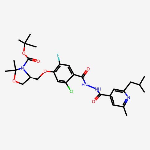 Cc1cc(C(=O)NNC(=O)c2cc(F)c(OC[C@H]3COC(C)(C)N3C(=O)OC(C)(C)C)cc2Cl)cc(CC(C)C)n1